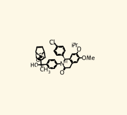 COc1cc2c(cc1OC(C)C)[C@H](c1ccc(Cl)cc1)N(c1ccc([C@](C)(O)C3CC4CCC(C3)S4(=O)=O)cc1)C(=O)C2